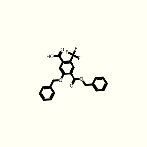 O=C(OCc1ccccc1)c1cc(C(F)(F)F)c(C(=O)O)cc1OCc1ccccc1